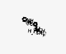 CC1(C)OB(c2cccc(OCC(=O)NC3CCCCC3)c2)OC1(C)C